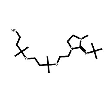 CN1CCN(CCOC(C)(C)CCOC(C)(C)CCO)/C1=N/C(C)(C)C